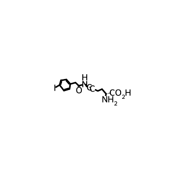 N[C@H](CCCCNC(=O)Cc1ccc(I)cc1)C(=O)O